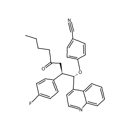 CCCCC(=O)C[C@H](c1ccc(F)cc1)[C@H](Oc1ccc(C#N)cc1)c1ccnc2ccccc12